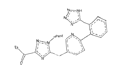 CCCCCn1nc(C(=O)CC)nc1Cc1ccc(-c2ccccc2-c2nnn[nH]2)nc1